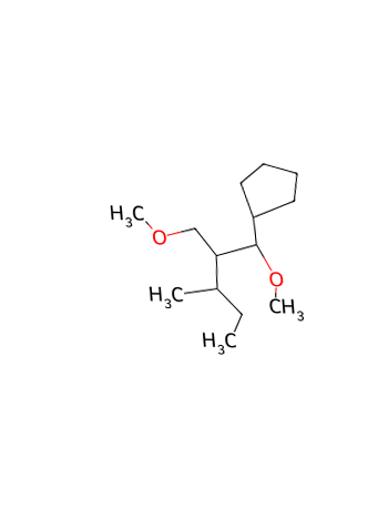 CCC(C)C(COC)C(OC)C1CCCC1